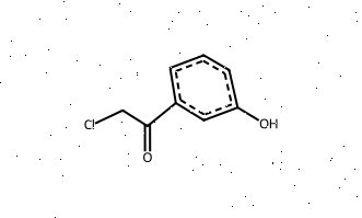 O=C(CCl)c1cccc(O)c1